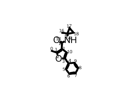 Cc1oc(-c2ccccc2)cc1C(=O)NC1(C)CC1